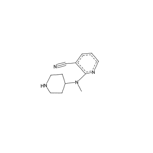 CN(c1ncccc1C#N)C1CCNCC1